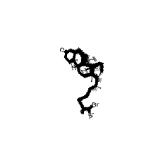 CC(CCC[C@@H](C)[C@H]1CC[C@H]2[C@@H]3CCC4CC(=O)CC[C@]4(C)[C@H]3CC[C@]12C)C(Br)Br